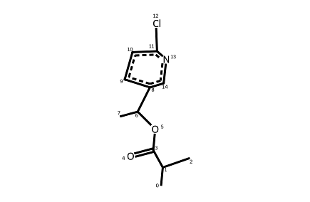 CC(C)C(=O)OC(C)c1ccc(Cl)nc1